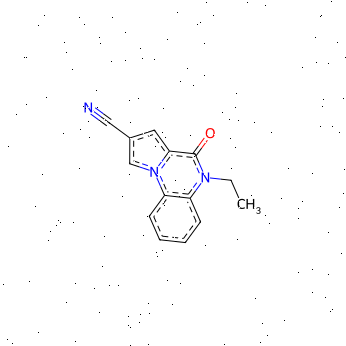 CCn1c(=O)c2cc(C#N)cn2c2ccccc21